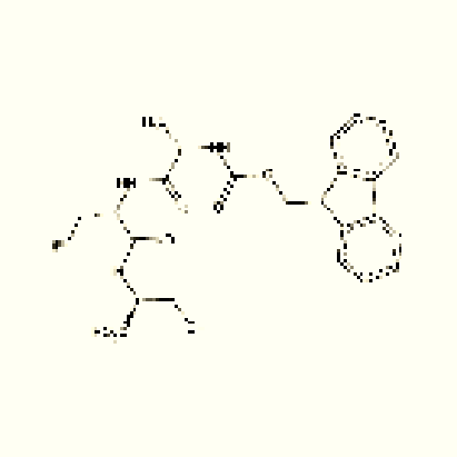 CC(C)C[C@H](NC(=O)[C@H](C)NC(=O)OCC1c2ccccc2-c2ccccc21)C(=O)N[C@@H](CO)C(=O)O